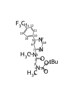 CN(CC(=O)N(C)c1cc(-c2ccc(C(F)(F)F)cc2)ncn1)C(=O)OC(C)(C)C